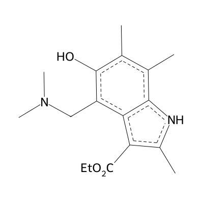 CCOC(=O)c1c(C)[nH]c2c(C)c(C)c(O)c(CN(C)C)c12